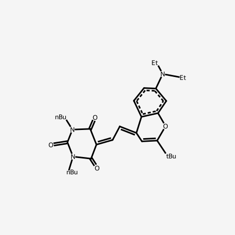 CCCCN1C(=O)C(=CC=C2C=C(C(C)(C)C)Oc3cc(N(CC)CC)ccc32)C(=O)N(CCCC)C1=O